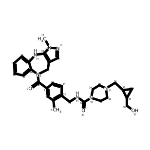 Cc1cc(C(=O)N2Cc3cnn(C)c3Nc3ccccc32)ccc1CNC(=O)N1CCN(CC2CC2CO)CC1